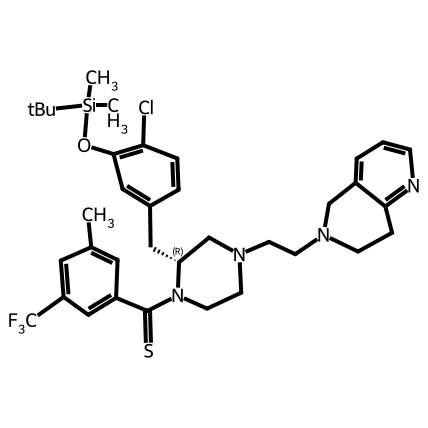 Cc1cc(C(=S)N2CCN(CCN3CCc4ncccc4C3)C[C@H]2Cc2ccc(Cl)c(O[Si](C)(C)C(C)(C)C)c2)cc(C(F)(F)F)c1